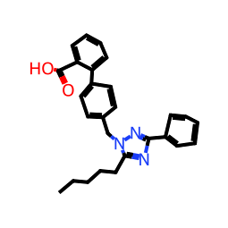 CCCCCc1nc(-c2ccccc2)nn1Cc1ccc(-c2ccccc2C(=O)O)cc1